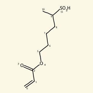 C=CC(=O)OCCCCC(C)S(=O)(=O)O